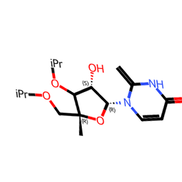 C=C1NC(=O)C=CN1[C@@H]1O[C@](C)(COC(C)C)C(OC(C)C)[C@@H]1O